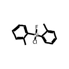 Cc1ccccc1[Si](F)(Cl)c1ccccc1C